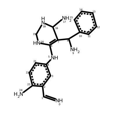 N=Cc1cc(NC2=C(C(N)c3ccccc3)C(N)NCN2)ccc1N